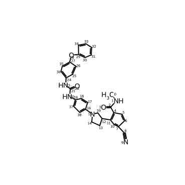 CNC(=O)c1ccc(C#N)cc1C1CCN(c2ccc(NC(=O)Nc3ccc(Oc4ccccc4)cc3)cc2)C1